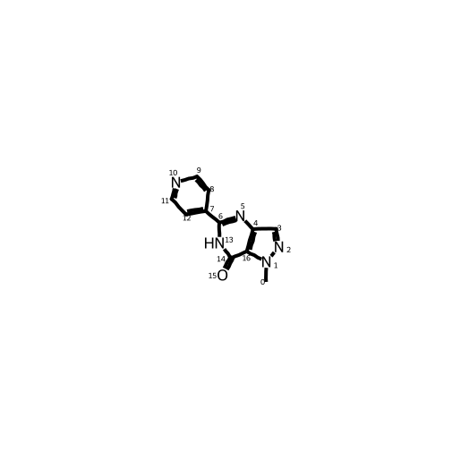 Cn1ncc2nc(-c3ccncc3)[nH]c(=O)c21